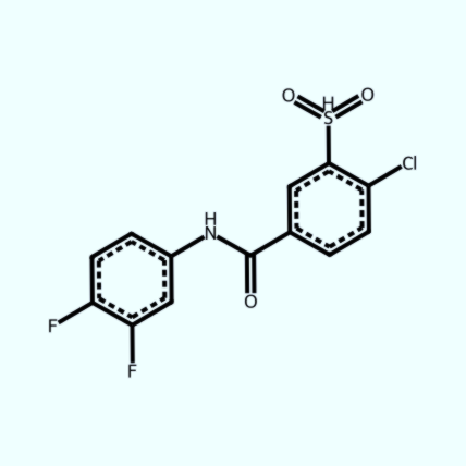 O=C(Nc1ccc(F)c(F)c1)c1ccc(Cl)c([SH](=O)=O)c1